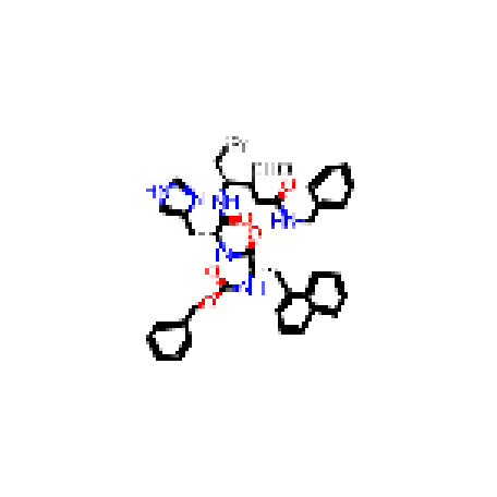 CC(C)C[C@H](NC(=O)[C@@H](Cc1c[nH]cn1)NC(=O)[C@H](Cc1cccc2ccccc12)NC(=O)OCc1ccccc1)[C@@H](C=O)CC(=O)NCc1ccccc1